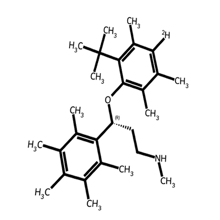 [2H]c1c(C)c(C)c(O[C@H](CCNC)c2c(C)c(C)c(C)c(C)c2C)c(C(C)(C)C)c1C